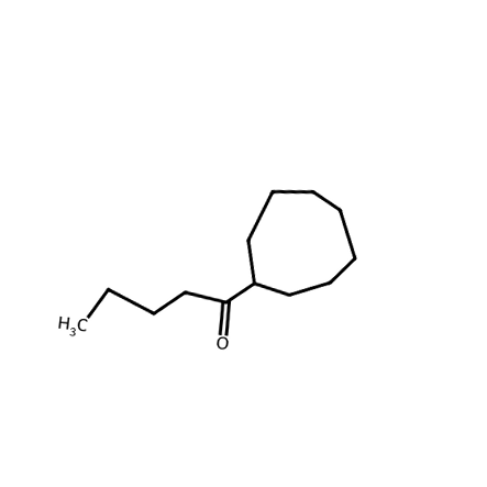 CCCCC(=O)C1CCCCCCC1